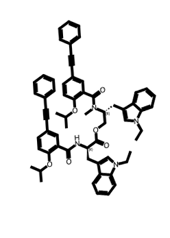 CCn1cc(C[C@H](COC(=O)[C@@H](Cc2cn(CC)c3ccccc23)NC(=O)c2cc(C#Cc3ccccc3)ccc2OC(C)C)N(C)C(=O)c2cc(C#Cc3ccccc3)ccc2OC(C)C)c2ccccc21